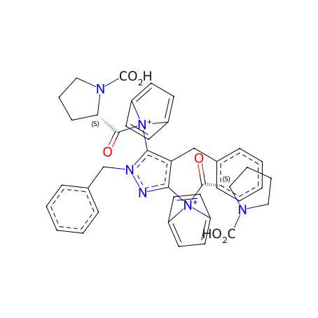 O=C(O)N1CCC[C@H]1C(=O)[N+]1(c2nn(Cc3ccccc3)c([N+]3(C(=O)[C@@H]4CCCN4C(=O)O)C4=CC=C3C=C4)c2Cc2ccccc2)C2=CC=C1C=C2